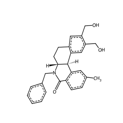 Cc1ccc2c(c1)[C@@H]1c3cc(CO)c(CO)cc3CC[C@H]1N(Cc1ccccc1)C2=O